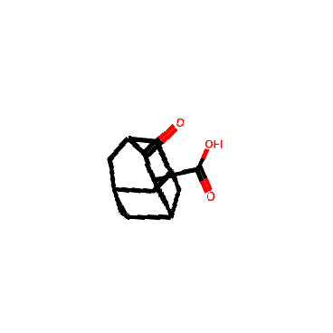 O=C(O)C1C(=O)C2CC3CC(C2)CC1C3